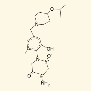 Cc1cc(CN2CCC(OC(C)C)CC2)cc(O)c1N1CC(=O)[C@@H](N)C[S+]1[O-]